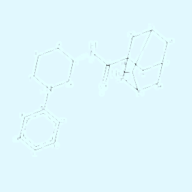 O=C(N[C@H]1CCCN(c2ccccc2)C1)C12CC3CC(C1)C(O)C(C3)C2